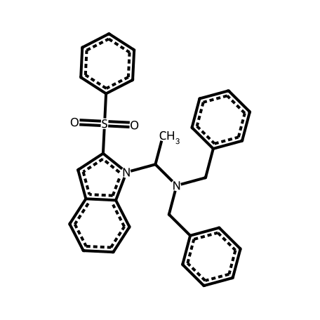 CC(N(Cc1ccccc1)Cc1ccccc1)n1c(S(=O)(=O)c2ccccc2)cc2ccccc21